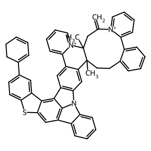 C=C1CC2(C)[n+]3ccccc3-c3cc4c5c6c(cc7c8ccccc8n(c4cc3C2(C)CCc2ccccc2-c2cccc[n+]21)c75)sc1ccc(C2=CC=CCC2)cc16